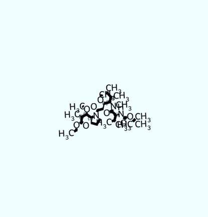 CCOC(=O)[C@H](C)[C@@H](OC)[C@@H]1CCCN1C(=O)C[C@@H](OC)[C@H]([C@@H](C)CC)N(C)C(=O)[C@@H](NC(=O)OC(C)(C)C)C(C)C